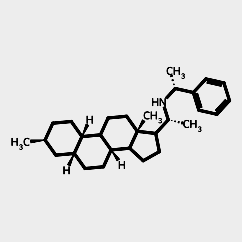 C[C@H]1CC[C@@H]2C3CC[C@@]4(C)C(CCC4[C@@H](C)N[C@H](C)c4ccccc4)[C@@H]3CC[C@@H]2C1